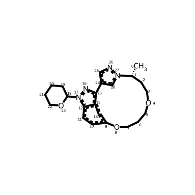 C[C@@H]1CCOCCCOc2ccc3c(c2)c(nn3C2CCCCO2)-c2cnn1c2